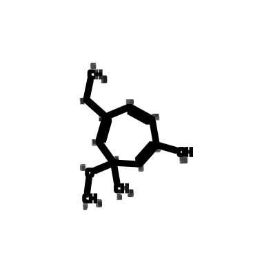 CCC1=CC(C)(OC)C=C(O)C=C1